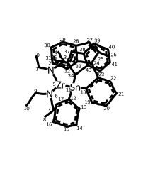 CC[N](CC)[Zr]([N](CC)CC)[Sn]([c]1ccccc1)([c]1ccccc1C1C(C)=Cc2ccccc21)[CH]1C(C)=Cc2ccccc21